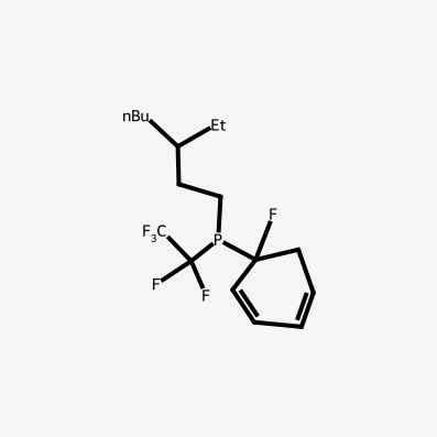 CCCCC(CC)CCP(C1(F)C=CC=CC1)C(F)(F)C(F)(F)F